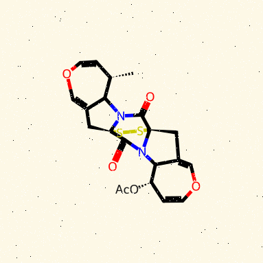 CC(=O)O[C@H]1C=COC=C2C[C@@]34SS[C@]5(CC6=COC=C[C@H](C)C6N5C3=O)C(=O)N4C21